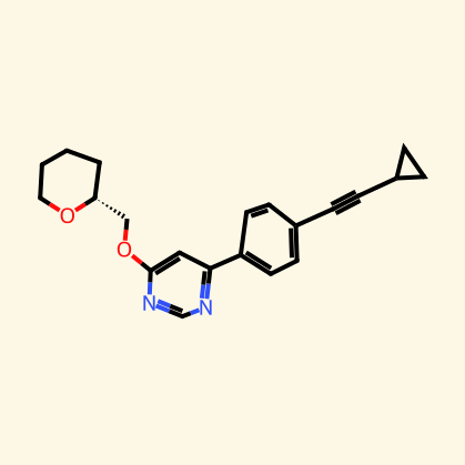 C(#CC1CC1)c1ccc(-c2cc(OC[C@H]3CCCCO3)ncn2)cc1